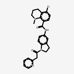 CN1CCCc2c(Cl)ccc(C(=O)Nc3ccc4c(c3)CCN4C(=O)Cc3ccccn3)c21